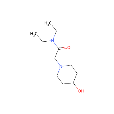 CCN(CC)C(=O)CN1CCC(O)CC1